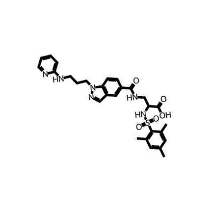 Cc1cc(C)c(S(=O)(=O)NC(CNC(=O)c2ccc3c(cnn3CCCNc3ccccn3)c2)C(=O)O)c(C)c1